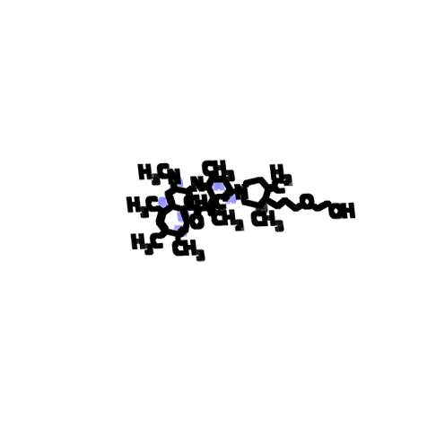 C=C1CC(/C(C)=C\C(=C/C)N2CCC(=C)C(CCCOCCO)[C@H](C)C2)=NC(C(/C=C2C(C)=C=C(C)/C(C)=C\C=C/2C)=N/C)=CC1=O